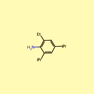 CCc1cc(C(C)C)cc(C(C)C)c1N